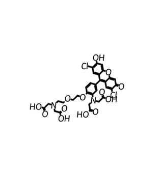 O=C(O)CN(CCOCCOc1ccc(-c2c3cc(Cl)c(=O)cc-3oc3cc(O)c(Cl)cc23)cc1N(CC(=O)O)CC(=O)O)CC(=O)O